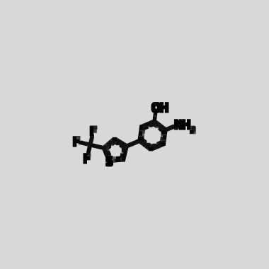 Nc1ccc(-c2csc(C(F)(F)F)c2)cc1O